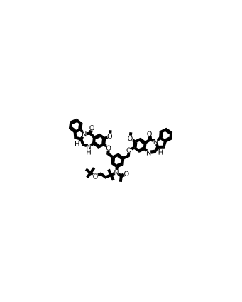 COc1cc2c(cc1OCc1cc(COc3cc4c(cc3OC)C(=O)N3c5ccccc5C[C@H]3CN4)cc(N(C(C)=O)C(C)(C)CCOC(C)(C)C)c1)N=C[C@@H]1Cc3ccccc3N1C2=O